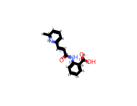 Cc1cccc(/C=C/C(=O)Nc2ccccc2C(=O)O)n1